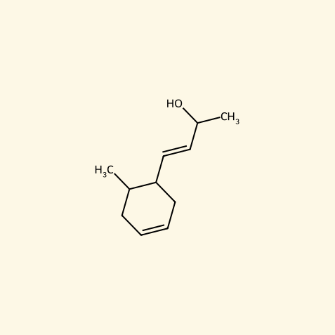 CC(O)C=CC1CC=CCC1C